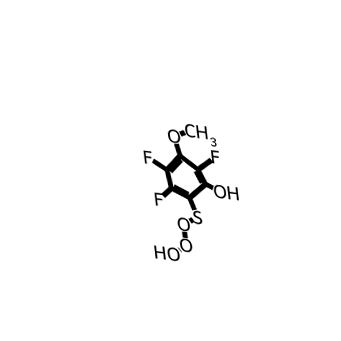 COc1c(F)c(O)c(SOOO)c(F)c1F